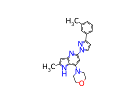 Cc1cccc(-c2ccn(-c3cc(N4CCOCC4)c4[nH]c(C)cc4n3)n2)c1